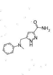 CN(Cc1cc(C(N)=O)n[nH]1)c1ccccc1